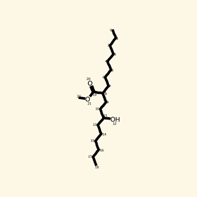 CCCCCCCCC(CCC(O)CCCCCC)C(=O)OC